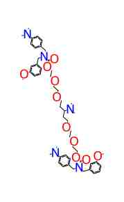 COc1cccc(CN(Cc2ccc(N(C)C)cc2)C(=O)OCCOCCOCCC(CCOCCOCCOC(=O)N(Cc2ccc(N(C)C)cc2)Cc2cccc(OC)c2)N(C)C)c1